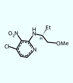 CC[C@H](COC)Nc1nccc(Cl)c1[N+](=O)[O-]